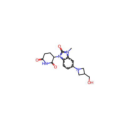 Cn1c(=O)n(C2CCC(=O)NC2=O)c2ccc(N3CC(CO)C3)cc21